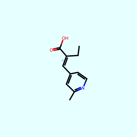 CC/C(=C\c1ccnc(C)c1)C(=O)O